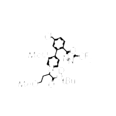 COCCC(C(=O)OC(C)(C)C)n1cc(OC)c(-c2cc(Cl)ccc2-c2nnc(C(F)(F)F)o2)cc1=O